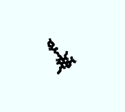 CCOC(=O)C1=C(C)NC(CSCCC(=O)NN2CCN(C)CC2)=C(C(=O)OCC)C1c1cccc([N+](=O)[O-])c1